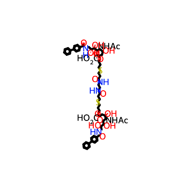 CC(=O)N[C@@H]1[C@H]([C@H](O)[C@@H](O)CNC(=O)c2ccc(-c3ccccc3)cc2)O[C@@](OCCCSCCC(=O)NCCNC(=O)CCSCCCO[C@]2(C(=O)O)C[C@H](O)[C@@H](NC(C)=O)[C@H]([C@H](O)[C@H](O)CNC(=O)c3ccc(-c4ccccc4)cc3)O2)(C(=O)O)C[C@H]1O